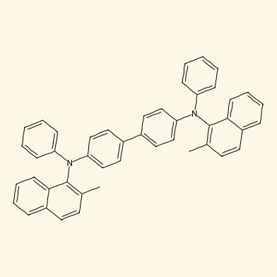 Cc1ccc2ccccc2c1N(c1ccccc1)c1ccc(-c2ccc(N(c3ccccc3)c3c(C)ccc4ccccc34)cc2)cc1